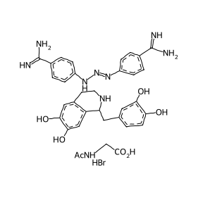 Br.CC(=O)NCC(=O)O.N=C(N)c1ccc(/N=N/Nc2ccc(C(=N)N)cc2)cc1.Oc1ccc(CC2NCCc3cc(O)c(O)cc32)cc1O